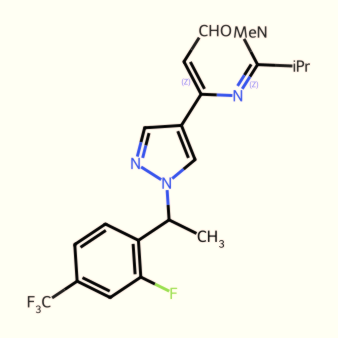 CN/C(=N\C(=C/C=O)c1cnn(C(C)c2ccc(C(F)(F)F)cc2F)c1)C(C)C